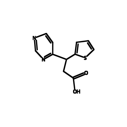 O=C(O)CC(c1ccncn1)c1cccs1